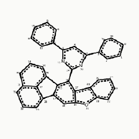 c1ccc(-c2cc(-c3ccccc3)nc(-c3c4c(cc5oc6ccccc6c35)-c3cccc5cccc-4c35)n2)cc1